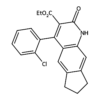 CCOC(=O)c1c(-c2ccccc2Cl)c2cc3c(cc2[nH]c1=O)CCC3